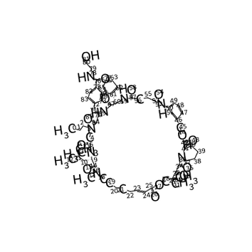 CCCN1CC(=O)N(C)[C@@H](CC(C)C)C(=O)N(C)CCCCC/C=C/C(=O)OCC(C)(C)C(=O)C(=O)N2CCCC[C@H]2C(=O)OCc2cccc(c2)NC(=O)CCC(=O)N[C@@H](c2ccccc2)C(=O)N[C@@H](Cc2ccc(C(=O)NCCO)cc2)C1=O